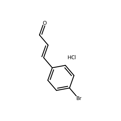 Cl.O=CC=Cc1ccc(Br)cc1